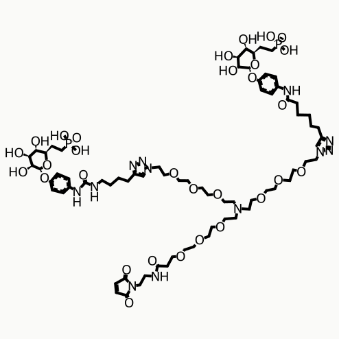 O=C(CCOCCOCCOCCN(CCOCCOCCOCCn1cc(CCCCCC(=O)Nc2ccc(O[C@H]3O[C@H](CCP(=O)(O)O)[C@@H](O)[C@H](O)[C@@H]3O)cc2)nn1)CCOCCOCCOCCn1cc(CCCCNC(=O)Nc2ccc(O[C@H]3O[C@H](CCP(=O)(O)O)[C@@H](O)[C@H](O)[C@@H]3O)cc2)nn1)NCCN1C(=O)C=CC1=O